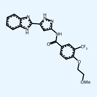 COCCOc1ccc(C(=O)Nc2cc(-c3nc4ccccc4[nH]3)[nH]n2)cc1C(F)(F)F